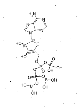 Nc1ncnc2c1ncn2[C@@H]1O[C@H](COP(=O)(OP(=O)(O)O)OP(=O)(OB(O)O)OB(O)O)[C@@H](O)[C@H]1O